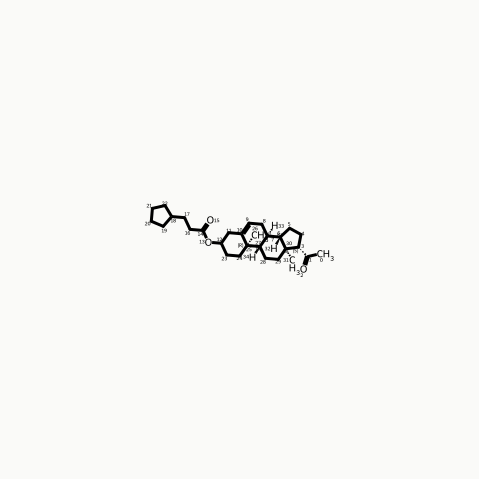 CC(=O)[C@H]1CC[C@H]2[C@@H]3CC=C4CC(OC(=O)CCC5CCCC5)CC[C@]4(C)[C@H]3CC[C@]12C